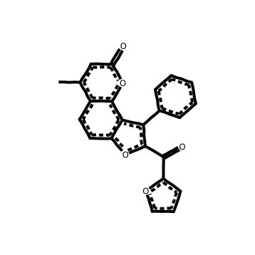 Cc1cc(=O)oc2c1ccc1oc(C(=O)c3ccco3)c(-c3ccccc3)c12